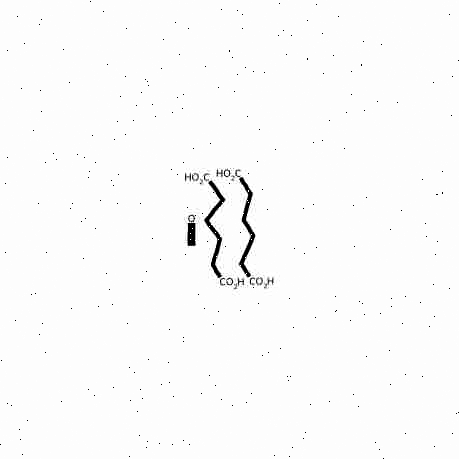 C=O.O=C(O)CCCCC(=O)O.O=C(O)CCCCC(=O)O